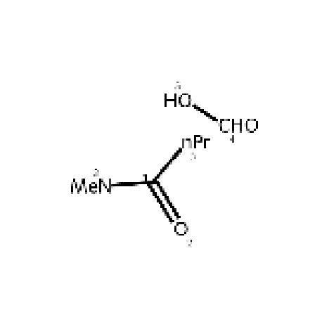 CCCC(=O)NC.O=CO